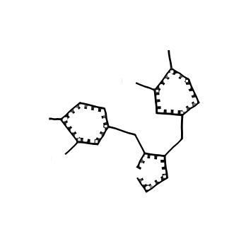 Oc1ccc(Cc2ccsc2Cc2ccc(O)c(O)c2)cc1O